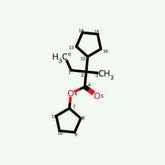 CCC(C)(C(=O)OC1CCCC1)C1CCCC1